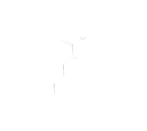 NC(=O)NCCC[O]